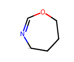 [CH]1CCCOC=N1